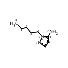 CCCCCn1nccc1N